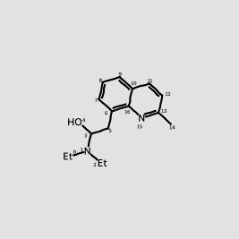 CCN(CC)C(O)Cc1cccc2ccc(C)nc12